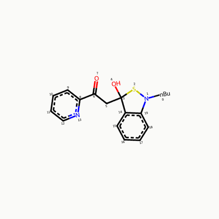 CCCCN1SC(O)(CC(=O)c2ccccn2)c2ccccc21